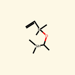 C=C[Si](C)(C)OC(C)[SiH](C)C